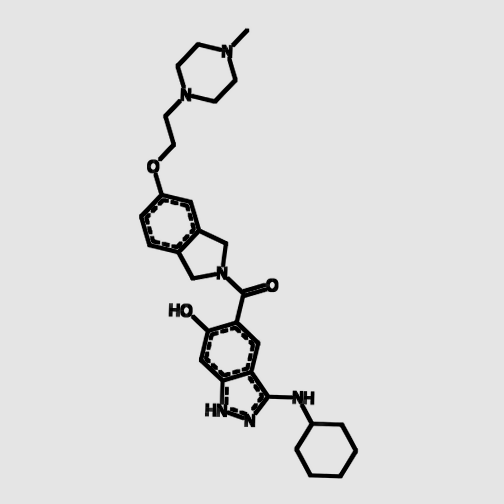 CN1CCN(CCOc2ccc3c(c2)CN(C(=O)c2cc4c(NC5CCCCC5)n[nH]c4cc2O)C3)CC1